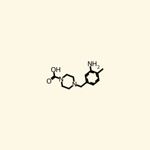 Cc1ccc(CN2CCN(C(=O)O)CC2)cc1N